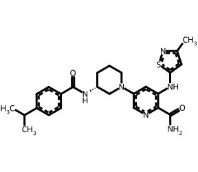 Cc1cc(Nc2cc(N3CCC[C@@H](NC(=O)c4ccc(C(C)C)cc4)C3)cnc2C(N)=O)sn1